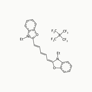 CCN1C(=CC=CC=Cc2oc3ccccc3[n+]2CC)Oc2ccccc21.FC(F)(F)[B-](C(F)(F)F)(C(F)(F)F)C(F)(F)F